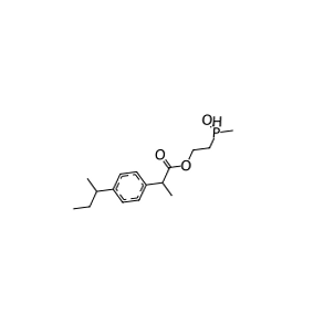 CCC(C)c1ccc(C(C)C(=O)OCC[PH](C)=O)cc1